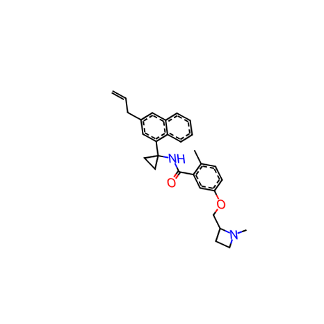 C=CCc1cc(C2(NC(=O)c3cc(OCC4CCN4C)ccc3C)CC2)c2ccccc2c1